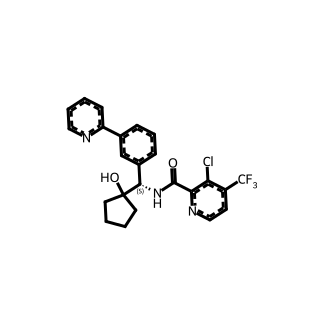 O=C(N[C@@H](c1cccc(-c2ccccn2)c1)C1(O)CCCC1)c1nccc(C(F)(F)F)c1Cl